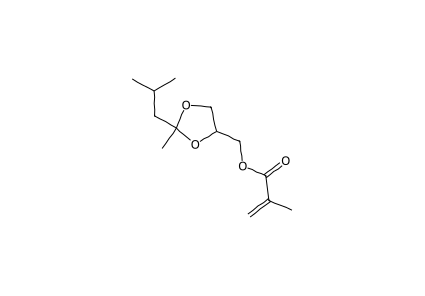 C=C(C)C(=O)OCC1COC(C)(CC(C)C)O1